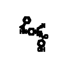 N#CCC1(N2CCC(N[C@@H]3CC3c3ccccc3)CC2)CN(C(=O)[C@H]2CC[C@H](O)CC2)C1